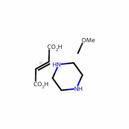 C1CNCCN1.COC.O=C(O)/C=C/C(=O)O